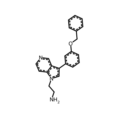 NCCn1cc(-c2cccc(OCc3ccccc3)c2)c2cnccc21